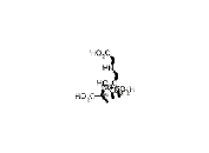 CC(=O)O.CC(=O)O.C[C@H](N)C(=O)O.O=C(O)CNCC(=O)O